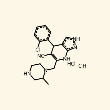 CC1CNCCN1CC1=C(C#N)C(c2ccccc2Cl)c2c[nH]nc2N1.Cl.Cl